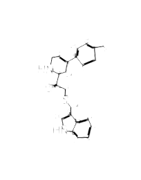 Cc1ccc(C2=CCNC(C(=O)CSCc3c[nH]c4ccccc34)C2)cc1